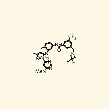 CNc1cc(-n2nc(C)cc2Nc2cc(NC(=O)c3cc(CN4CC(F)(F)C4)cc(C(F)(F)F)c3)ccc2C)ncn1